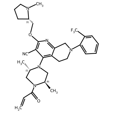 C=CC(=O)N1C[C@H](C)N(c2c(C#N)c(OC[C@@H]3CCCN3C)nc3c2CCN(c2ccccc2C(F)(F)F)C3)C[C@H]1C